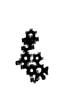 CN1C(=O)C2(CC2)CN(C2CCCC2)c2nc(Nc3ccc(C(=O)NC4C[C@H]5CCC[C@@H](C4)N5C)cc3Cl)ncc21